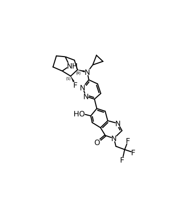 O=c1c2cc(O)c(-c3ccc(N(C4CC4)[C@@H]4CC5CCC(N5)[C@@H]4F)nn3)cc2ncn1CC(F)(F)F